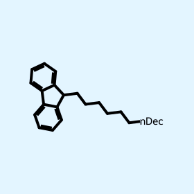 CCCCCCCCCCCCCCCCC1c2ccccc2-c2ccccc21